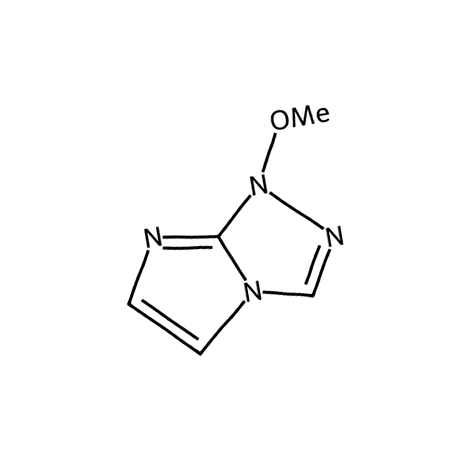 COn1ncn2ccnc12